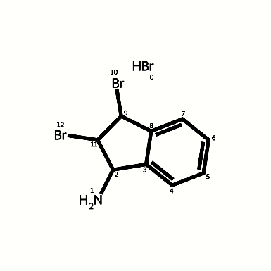 Br.NC1c2ccccc2C(Br)C1Br